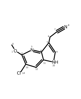 COc1nc2c(CC#N)c[nH]c2cc1Cl